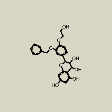 OCCOc1ccc(C2Oc3cc(O)cc(O)c3C(O)C2O)cc1OCc1ccccc1